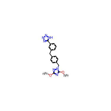 CCCOc1nc(OCCC)n(Cc2ccc(Cc3cccc(-c4nnn[nH]4)c3)cc2)n1